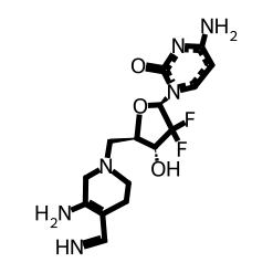 N=CC1=C(N)CN(C[C@H]2O[C@@H](n3ccc(N)nc3=O)C(F)(F)[C@@H]2O)CC1